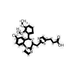 COc1cccc(C2SC(Cc3ncc(CCC(=O)O)s3)c3nccn3-c3ccc(Cl)cc32)c1OC